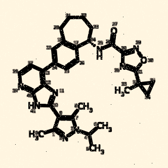 Cc1nn(C(C)C)c(C)c1-c1nc2c(-c3ccc4c(c3)CCCC[C@@H]4NC(=O)c3noc(C4(C)CC4)n3)ccnc2[nH]1